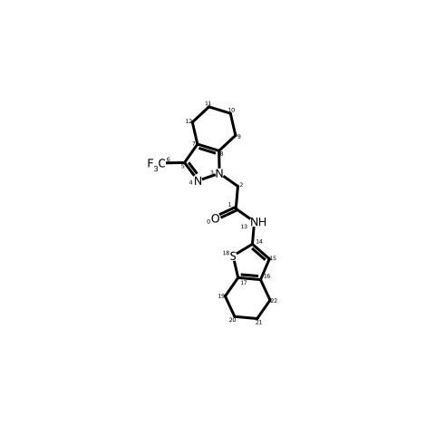 O=C(Cn1nc(C(F)(F)F)c2c1CCCC2)Nc1cc2c(s1)CCCC2